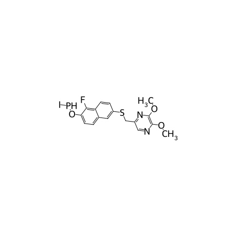 COc1ncc(CSc2ccc3c(F)c(OPI)ccc3c2)nc1OC